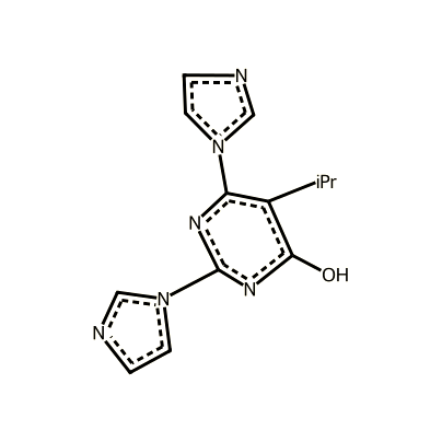 CC(C)c1c(O)nc(-n2ccnc2)nc1-n1ccnc1